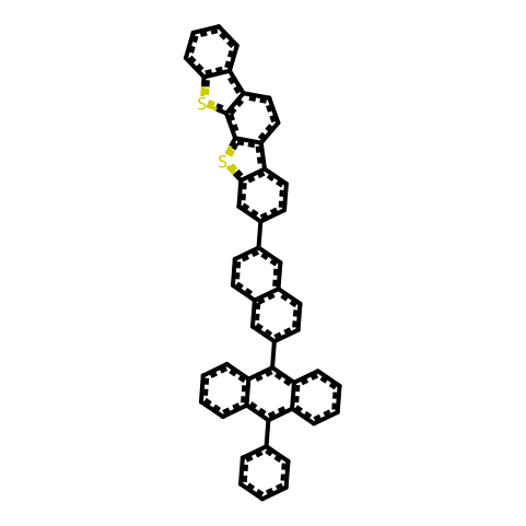 c1ccc(-c2c3ccccc3c(-c3ccc4cc(-c5ccc6c(c5)sc5c6ccc6c7ccccc7sc65)ccc4c3)c3ccccc23)cc1